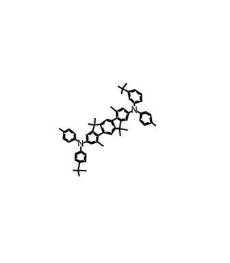 Cc1ccc(N(c2ccc(C(C)(C)C)cc2)c2cc(C)c3c(c2)C(C)(C)c2cc4c(cc2-3)C(C)(C)c2cc(N(c3ccc(C)cc3)c3cccc(C(C)(C)C)c3)cc(C)c2-4)cc1